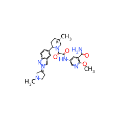 COc1ncc(NC(=O)C(=O)N2C[C@@H](C)CCC2c2ccc3nn([C@H]4CCN(C)C4)cc3c2)cc1C(N)=O